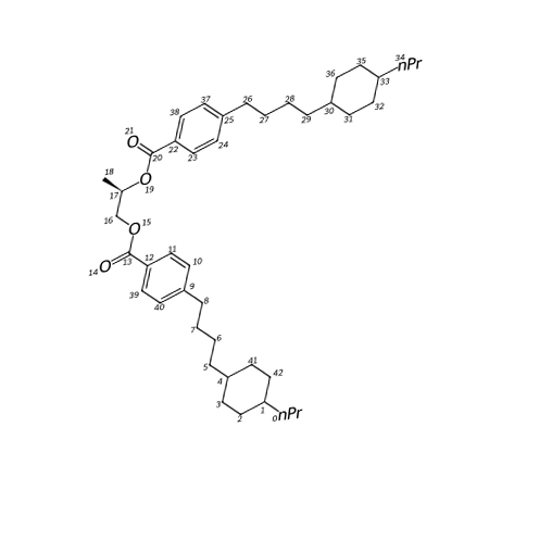 CCCC1CCC(CCCCc2ccc(C(=O)OC[C@@H](C)OC(=O)c3ccc(CCCCC4CCC(CCC)CC4)cc3)cc2)CC1